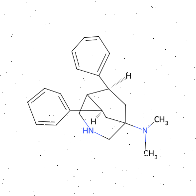 CN(C)C12CNCC([C@@H](c3ccccc3)C1)[C@H](c1ccccc1)C2